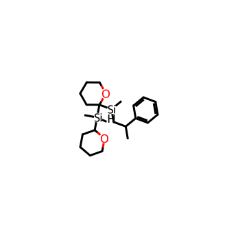 CC(C[SiH](C)C1([Si](C)(C)C2CCCCO2)CCCCO1)c1ccccc1